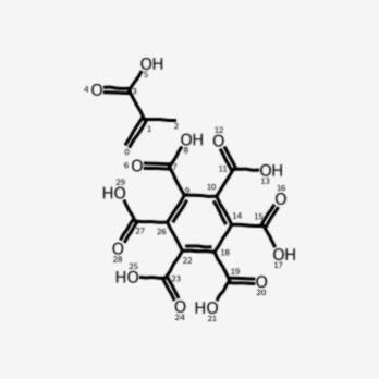 C=C(C)C(=O)O.O=C(O)c1c(C(=O)O)c(C(=O)O)c(C(=O)O)c(C(=O)O)c1C(=O)O